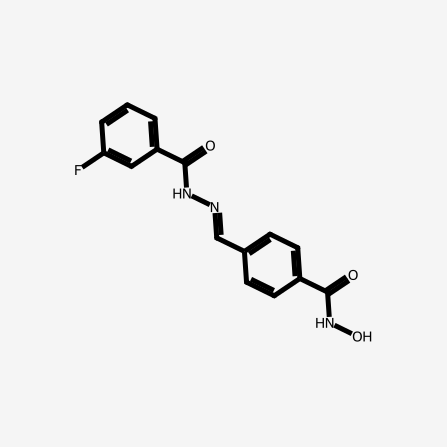 O=C(NO)c1ccc(C=NNC(=O)c2cccc(F)c2)cc1